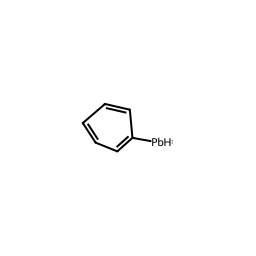 [PbH][c]1ccccc1